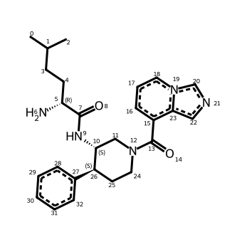 CC(C)CC[C@@H](N)C(=O)N[C@@H]1CN(C(=O)c2cccn3cncc23)CC[C@H]1c1ccccc1